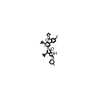 C[C@H]1CCCN(Cc2cc3c(C4CC4)cn(-c4cc(-c5ccc(F)cc5C(=O)N5CCC5)cc(C5CC5)n4)c(=O)c3[nH]2)C1